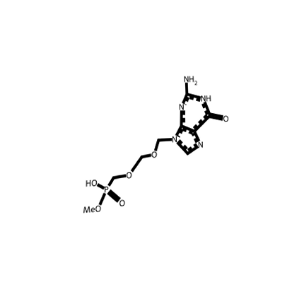 COP(=O)(O)COCOCn1cnc2c(=O)[nH]c(N)nc21